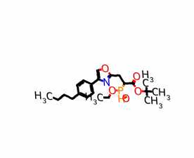 CCCCc1ccc(-c2coc(CC(C(=O)OC(C)(C)C)[PH](=O)OCC)n2)cc1